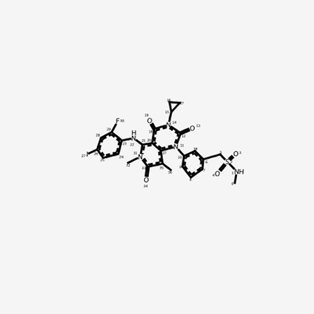 CNS(=O)(=O)Cc1cccc(-n2c(=O)n(C3CC3)c(=O)c3c(Nc4ccc(I)cc4F)n(C)c(=O)c(C)c32)c1